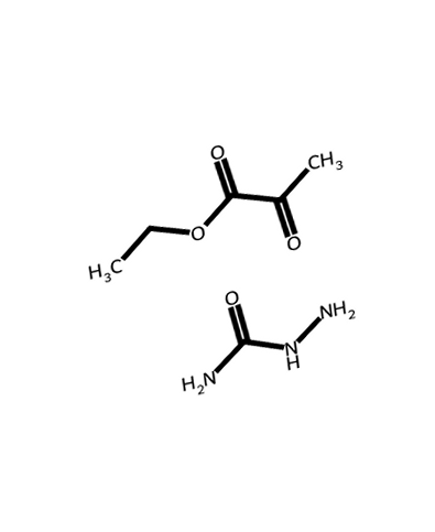 CCOC(=O)C(C)=O.NNC(N)=O